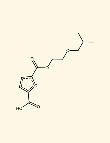 CC(C)COCCOC(=O)c1ccc(C(=O)O)o1